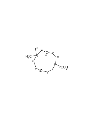 CC1(I)CCCCCC(C(=O)O)CCCC1